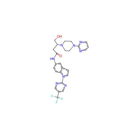 O=C(CC(CO)N1CCN(c2ncccn2)CC1)Nc1ccc2c(ccn2-c2ncc(C(F)(F)F)cn2)c1